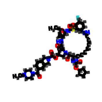 C=C[C@@H]1C[C@@]12NC(=O)[C@@H]1C[C@@H](OC(=O)N3Cc4ccc(C(=O)N5CCN(C)CC5)cc4C3)CN1C(=O)[C@@H](NC(=O)OC1CCCC1)CCCCCCCNc1ccc(F)cc1S(=O)(=O)NC2=O